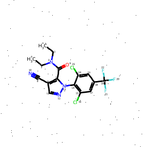 CCN(CC)C(=O)c1c(C#N)cnn1-c1c(Cl)cc(C(F)(F)F)cc1Cl